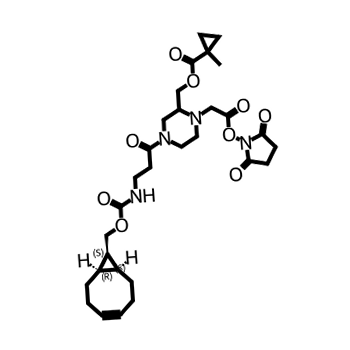 CC1(C(=O)OCC2CN(C(=O)CCNC(=O)OC[C@@H]3[C@@H]4CCC#CCC[C@@H]43)CCN2CC(=O)ON2C(=O)CCC2=O)CC1